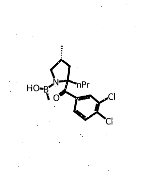 CCCC1(C(=O)c2ccc(Cl)c(Cl)c2)C[C@@H](C)CN1B(C)O